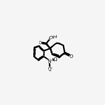 O=C1C=CC(C(=O)O)(c2ccccc2[N+](=O)[O-])CC1